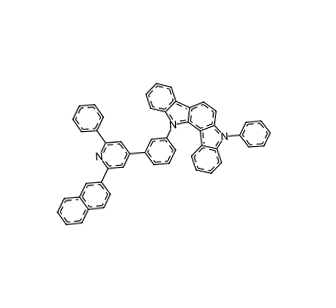 c1ccc(-c2cc(-c3cccc(-n4c5ccccc5c5ccc6c(c7ccccc7n6-c6ccccc6)c54)c3)cc(-c3ccc4ccccc4c3)n2)cc1